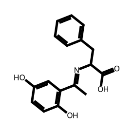 CC(=NC(Cc1ccccc1)C(=O)O)c1cc(O)ccc1O